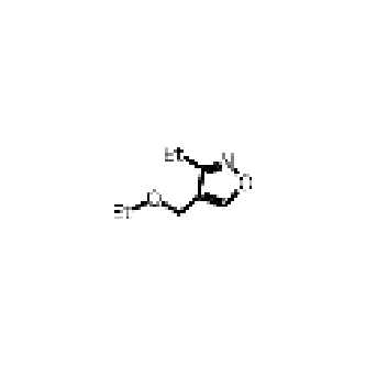 CCOCc1conc1CC